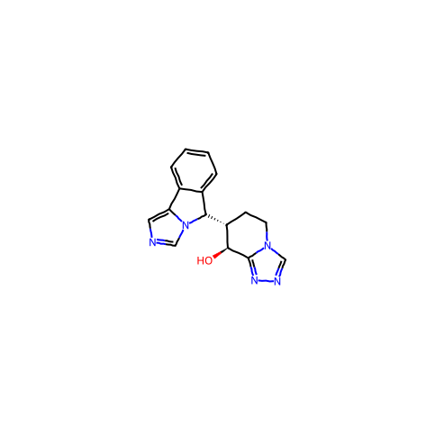 O[C@@H]1c2nncn2CC[C@H]1C1c2ccccc2-c2cncn21